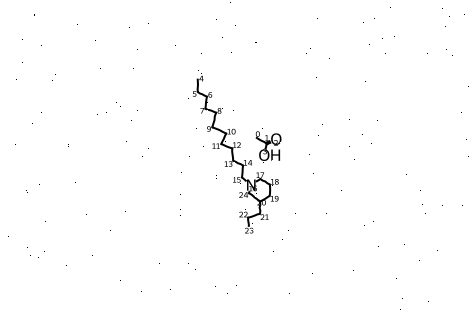 CC(=O)O.CCCCCCCCCCCCN1CCCC(CCC)C1